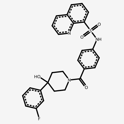 O=C(c1ccc(NS(=O)(=O)c2cccc3cccnc23)cc1)N1CCC(O)(c2cccc(F)c2)CC1